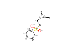 C[C@@H]1C[C@@H]1CCS(=O)(=O)c1ccccc1